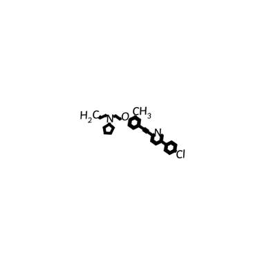 C=CCN(CCOc1ccc(C#Cc2ccc(-c3ccc(Cl)cc3)cn2)cc1C)C1CCCC1